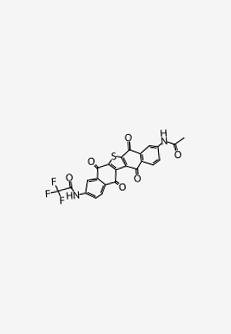 CC(=O)Nc1ccc2c(=O)c3c(sc4c(=O)c5cc(NC(=O)C(F)(F)F)ccc5c(=O)c43)c(=O)c2c1